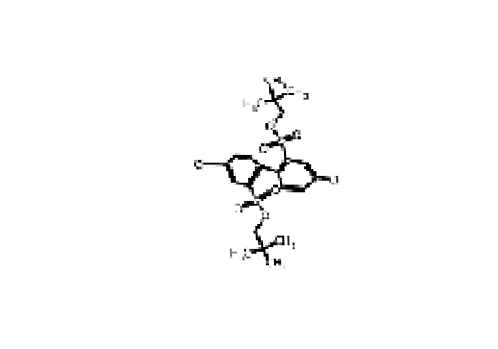 CC(C)(C)COS(=O)(=O)c1cc(Cl)ccc1-c1ccc(Cl)cc1S(=O)(=O)OCC(C)(C)C